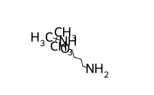 CC(C)(C)NOCCCCN